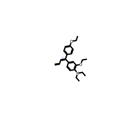 C=C/C=C(/c1ccc(OCC)cc1)c1ccc(N(CC)CC)c(OCC)c1